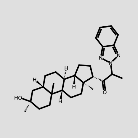 CC(C(=O)[C@H]1CC[C@H]2[C@@H]3CC[C@H]4C[C@](C)(O)CCC4(C)[C@H]3CC[C@]12C)n1nc2ccccc2n1